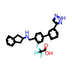 O=C(O)C(F)(F)F.c1cc(-c2ccc(CNC3Cc4ccccc4C3)cc2)cc(-c2cn[nH]n2)c1